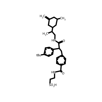 C=C1CC(C)CC(C(C)CNC(=O)C(Cc2ccc(C(=O)NCCS(=O)(=O)O)cc2)c2ccc(C(C)(C)C)cc2)C1